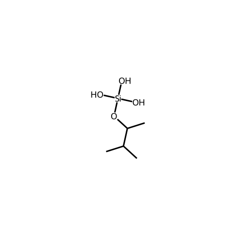 CC(C)C(C)O[Si](O)(O)O